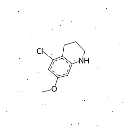 COc1cc(Cl)c2c(c1)NCCC2